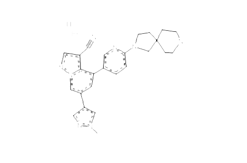 Cl.Cl.Cn1cc(-c2cc(-c3ccc(N4CCC5(CCNCC5)C4)nc3)c3c(C#N)cnn3c2)cn1